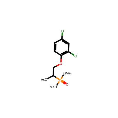 COP(=O)(OC)C(COc1ccc(Cl)cc1Cl)OC(C)=O